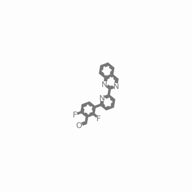 O=Cc1c(F)ccc(-c2cccc(-c3ncc4ccccc4n3)n2)c1F